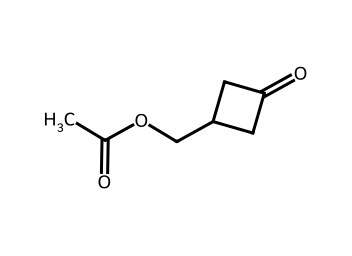 CC(=O)OCC1CC(=O)C1